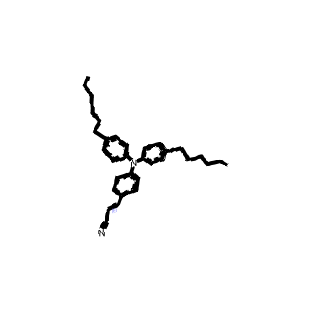 CCCCCCc1ccc(N(c2ccc(/C=C/C#N)cc2)c2ccc(CCCCCC)cc2)cc1